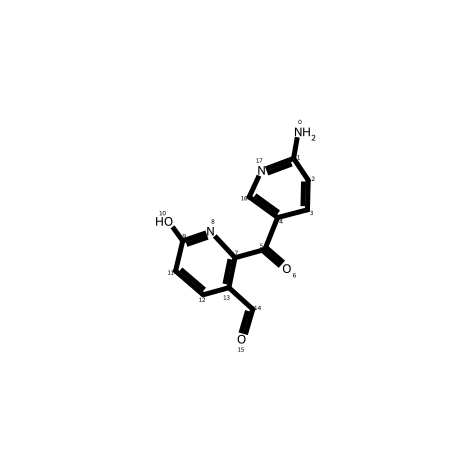 Nc1ccc(C(=O)c2nc(O)ccc2[C]=O)cn1